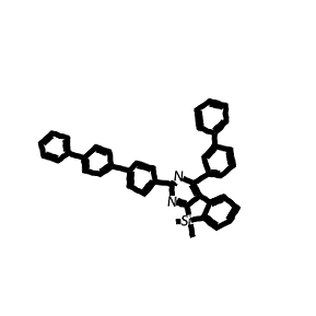 C[Si]1(C)c2ccccc2-c2c(-c3cccc(-c4ccccc4)c3)nc(-c3ccc(-c4ccc(-c5ccccc5)cc4)cc3)nc21